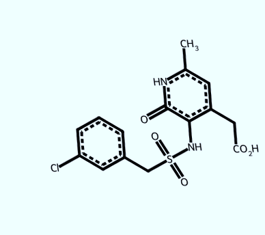 Cc1cc(CC(=O)O)c(NS(=O)(=O)Cc2cccc(Cl)c2)c(=O)[nH]1